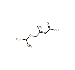 C/C(=C\C(=O)O)COC(C)C